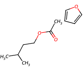 CC(=O)OCCC(C)C.c1ccoc1